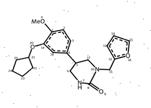 COc1ccc(C2CNC(=O)N(Cc3ccco3)C2)cc1OC1CCCC1